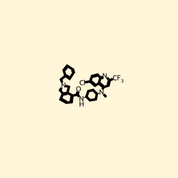 CN(c1cc(C(F)(F)F)nc2ccc(Cl)cc12)[C@H]1CC[C@@H](NC(=O)c2cccc3c2CN(Cc2ccccc2)C3)CC1